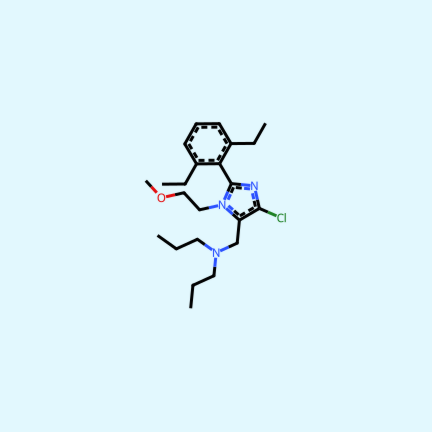 CCCN(CCC)Cc1c(Cl)nc(-c2c(CC)cccc2CC)n1CCOC